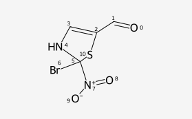 O=CC1=CNC(Br)([N+](=O)[O-])S1